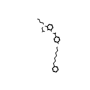 O=C(O)CCCN1CC(C(=O)O)Oc2c(NC(=O)c3ccc(OCCCCCCCc4ccccc4)cc3)cccc21